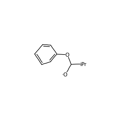 CC(C)C([O])Oc1ccccc1